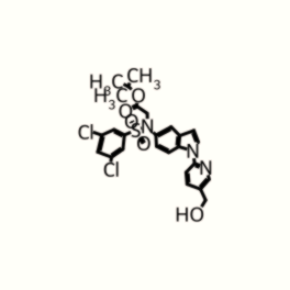 CC(C)(C)OC(=O)CN(c1ccc2c(ccn2-c2ccc(CO)cn2)c1)S(=O)(=O)c1cc(Cl)cc(Cl)c1